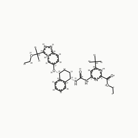 CCOC(=O)c1nc(NC(=O)N[C@H]2CC[C@@H](Oc3ccc4nnc(C(C)(C)OCC)n4c3)c3ccccc32)cc(C(C)(C)C)n1